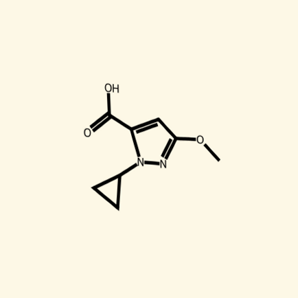 COc1cc(C(=O)O)n(C2CC2)n1